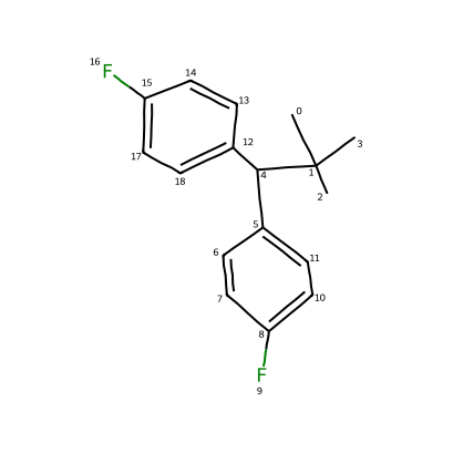 CC(C)(C)C(c1ccc(F)cc1)c1ccc(F)cc1